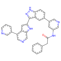 O=C(Cc1ccccc1)Nc1cncc(-c2ccc3[nH]nc(-c4cc5c(-c6cccnc6)cncc5[nH]4)c3c2)c1